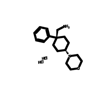 Cl.Cl.NC[C@]1(c2ccccc2)CC[C@@H](N2CCOCC2)CC1